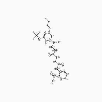 CCCCOC[C@H](NC(=O)OC(C)(C)C)C(=O)NNC(=O)SCC(=O)Nc1ccccc1[N+](=O)[O-]